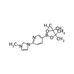 CN1C=CN(c2ccc(B3OC(C)(C)C(C)(C)O3)cn2)C1